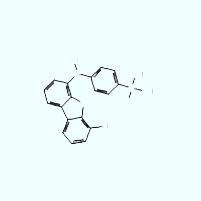 Cc1cccc2c1oc1c(N(C)c3ccc([Si](C)(C)C)cc3)cccc12